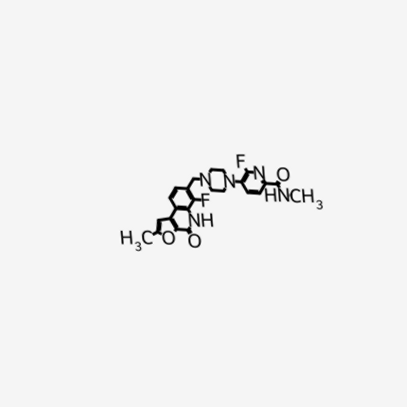 CNC(=O)c1ccc(N2CCN(Cc3ccc4c([nH]c(=O)c5oc(C)cc54)c3F)CC2)c(F)n1